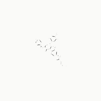 CCOC(=O)Nc1ccc2c(C(=O)C(=O)Nc3ccncc3)c(Cc3ccc(F)cc3)[nH]c2c1